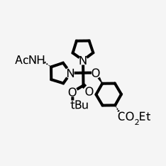 CCOC(=O)[C@H]1CC[C@H](OC(C(=O)OC(C)(C)C)(N2CCCC2)N2CC[C@H](NC(C)=O)C2)CC1